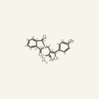 Cc1noc(-c2ccc(Br)cc2)c1CN1C(=O)c2ccccc2C1=O